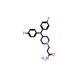 NC(=O)CCN1CCC(C(c2ccc(F)cc2)c2ccc(F)cc2)CC1